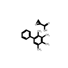 Cc1cc(-c2ccccc2)c(C)c(C)c1C.O=C(O)C1=CO1